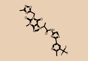 Cc1noc(Cn2c(=O)c3c(ncn3C(C)C(=O)Nc3csc(-c4cnc(C)c(C(F)(F)F)c4)n3)n(C)c2=O)n1